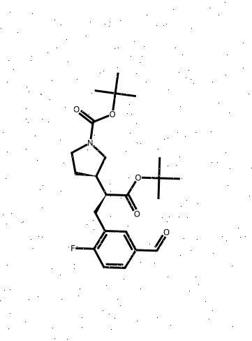 CC(C)(C)OC(=O)[C@@H](Cc1cc(C=O)ccc1F)[C@H]1CCN(C(=O)OC(C)(C)C)C1